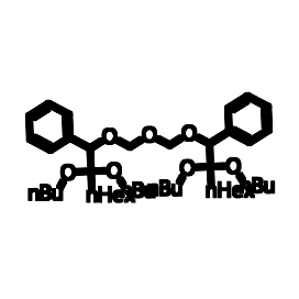 CCCCCCC(OCCCC)(OCCCC)C(OCOCOC(c1ccccc1)C(CCCCCC)(OCCCC)OCCCC)c1ccccc1